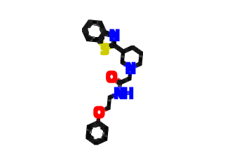 O=C(CN1CCCC(c2nc3ccccc3s2)C1)NCCOc1ccccc1